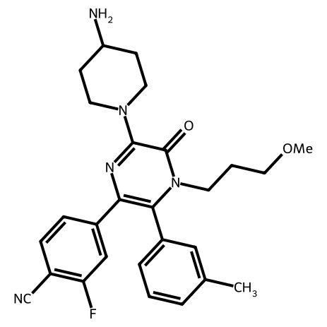 COCCCn1c(-c2cccc(C)c2)c(-c2ccc(C#N)c(F)c2)nc(N2CCC(N)CC2)c1=O